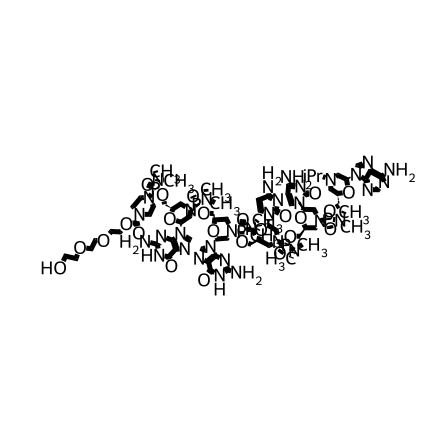 CC(C)N1C[C@@H](COP(=O)(N(C)C)N2C[C@@H](COP(=O)(N(C)C)N3C[C@@H](COP(=O)(N(C)C)N4C[C@@H](COP(=O)(N(C)C)N5C[C@@H](COP(=O)(N(C)C)N6CCN(C(=O)OCCOCCOCCO)CC6)O[C@@H](n6cnc7c(=O)[nH]c(N)nc76)C5)O[C@@H](n5cnc6c(=O)[nH]c(N)nc65)C4)O[C@@H](n4ccc(N)nc4=O)C3)O[C@@H](n3ccc(N)nc3=O)C2)O[C@@H](n2cnc3c(N)ncnc32)C1